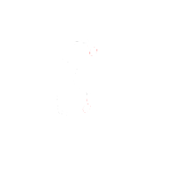 [CH]1OC=CC=C1c1ccco1